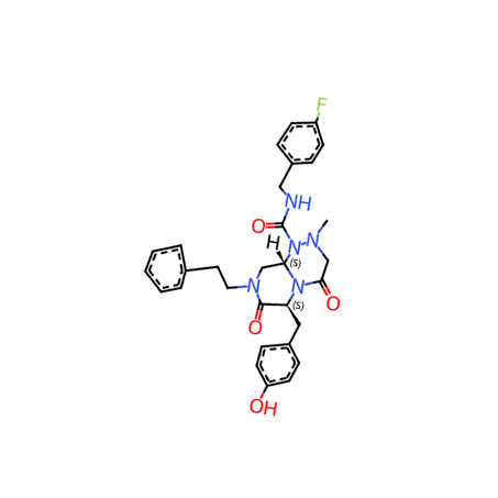 CN1CC(=O)N2[C@@H](Cc3ccc(O)cc3)C(=O)N(CCc3ccccc3)C[C@@H]2N1C(=O)NCc1ccc(F)cc1